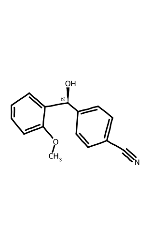 COc1ccccc1[C@@H](O)c1ccc(C#N)cc1